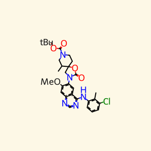 COc1cc2ncnc(Nc3cccc(Cl)c3C)c2cc1N1CC2(CCN(C(=O)OC(C)(C)C)CC2C)OC1=O